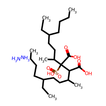 CCCCC(CC)CCC(C)C(C(=O)O)C(C(=O)O)(C(C)CCC(CC)CCCC)S(=O)(=O)O.N.N